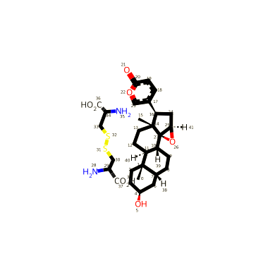 C[C@]12CC[C@H](O)C[C@H]1CC[C@@H]1[C@@H]2CC[C@]2(C)[C@@H](c3ccc(=O)oc3)C[C@H]3O[C@]132.NC(CSSCC(N)C(=O)O)C(=O)O